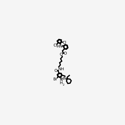 CCC1(NCc2cc(C(=O)NCCCCCCOC(=O)Cc3ccccc3Nc3c(Cl)cccc3Cl)cc(Br)c2N)CCCCC1